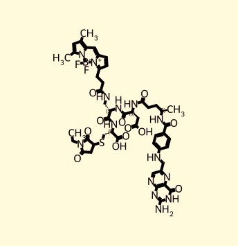 CCN1C(=O)CC(SC[C@H](NC(=O)[C@H](CNC(=O)CCC2=[N+]3C(=Cc4c(C)cc(C)n4[B-]3(F)F)C=C2)NC(=O)[C@H](CC(=O)O)NC(=O)CC[C@@H](C)NC(=O)c2ccc(NCc3cnc4nc(N)[nH]c(=O)c4n3)cc2)C(=O)O)C1=O